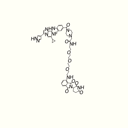 O=C(CN1CCN(C(=O)c2ccc(Nc3nc(C4CC4)cn4c(-c5cn[nH]c5)cnc34)c(F)c2)CC1)NCCOCCOCCOCCNc1cccc2c1C(=O)N(C1CCC(=O)NC1=O)C2=O